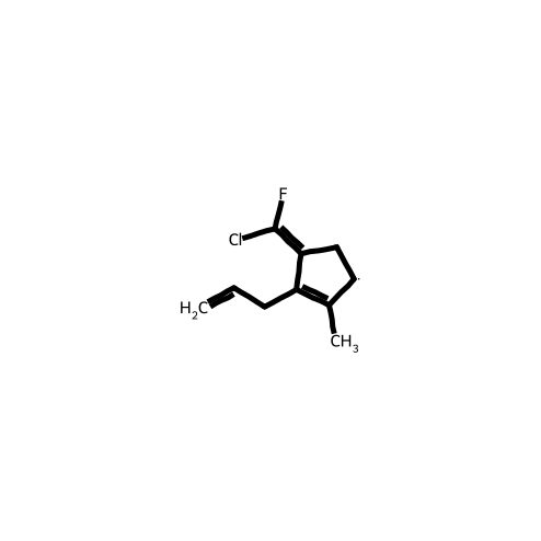 C=CCC1=C(C)[CH]CC1=C(F)Cl